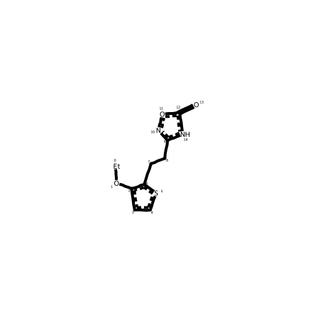 CCOc1ccsc1CCc1noc(=O)[nH]1